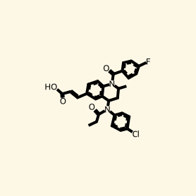 CCC(=O)N(c1ccc(Cl)cc1)C1CC(C)N(C(=O)c2ccc(F)cc2)c2ccc(C=CC(=O)O)cc21